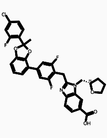 CC1(c2ccc(Cl)cc2F)Oc2cccc(-c3cc(F)c(Cc4nc5ccc(C(=O)O)cc5n4C[C@@H]4CCCO4)c(F)c3)c2O1